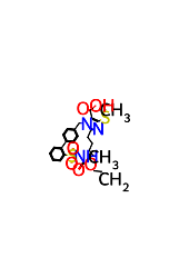 C=CCOC(=O)NS(=O)(=O)c1ccccc1-c1ccc(Cn2c(CCCC)nc(SC)c2C(=O)O)cc1